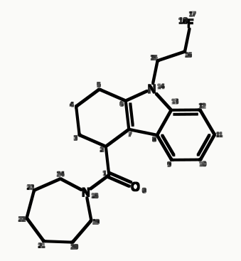 O=C(C1CCCc2c1c1ccccc1n2CC[18F])N1CCCCCC1